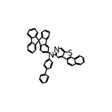 c1ccc(-c2ccc(N(c3ccc4c(c3)-c3ccccc3C43c4ccccc4-c4ccccc43)c3cc4c(cn3)sc3c5ccccc5ccc43)cc2)cc1